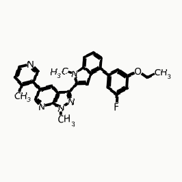 CCOc1cc(F)cc(-c2cccc3c2cc(-c2nn(C)c4ncc(-c5cnccc5C)cc24)n3C)c1